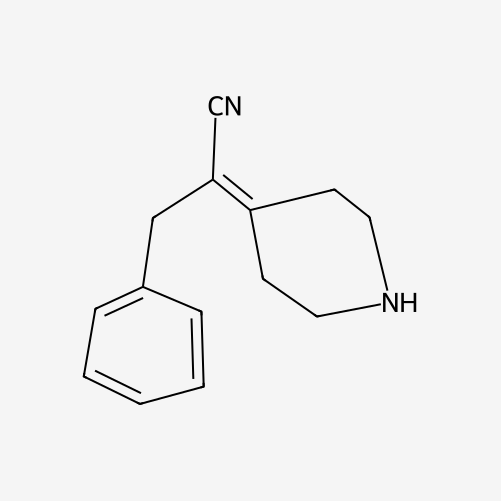 N#CC(Cc1ccccc1)=C1CCNCC1